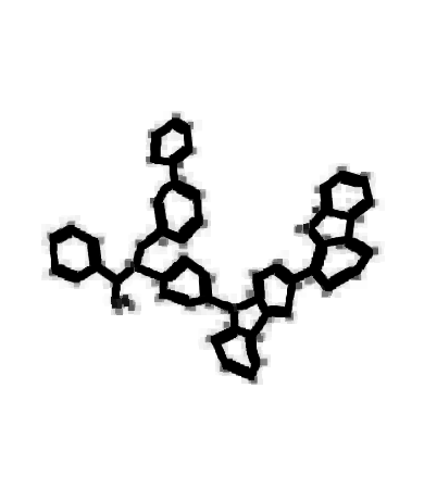 NC(c1ccccc1)N(Cc1cccc(-c2ccccc2)c1)c1ccc(-n2c3ccccc3c3cc(-c4cccc5c4oc4ccccc45)ccc32)cc1